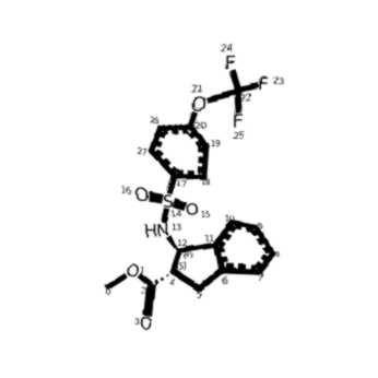 COC(=O)[C@H]1Cc2ccccc2[C@@H]1NS(=O)(=O)c1ccc(OC(F)(F)F)cc1